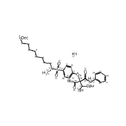 CCCCCCCCCCCCCCCCCCN(C)S(=O)(=O)c1ccc(OC(C(=O)Nc2ccccc2)(C(=O)C(C)(C)C)C(CCC)CCCC)cc1.[KH]